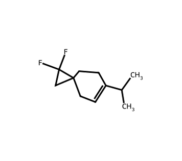 CC(C)C1=CCC2(CC1)CC2(F)F